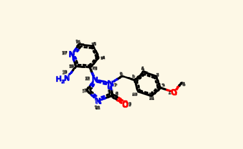 COc1ccc(Cn2c(=O)ncn2-c2cccnc2N)cc1